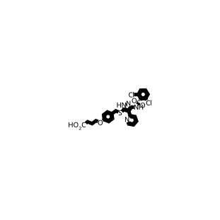 O=C(O)CCCOc1ccc(CSc2[nH]nc(NS(=O)(=O)c3c(Cl)cccc3Cl)c2-c2ccccn2)cc1